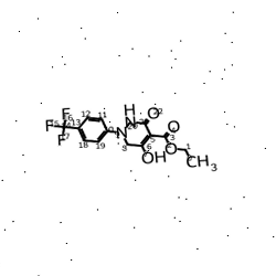 CCOC(=O)C1=C(O)CN(c2ccc(C(F)(F)F)cc2)NC1=O